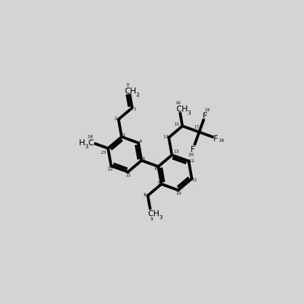 C=CCc1cc(-c2c(CC)cccc2CC(C)C(F)(F)F)ccc1C